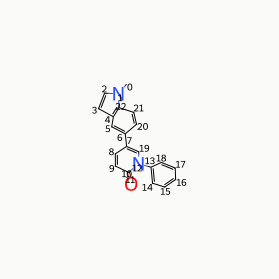 Cn1ccc2cc(-c3ccc(=O)n(-c4ccccc4)c3)ccc21